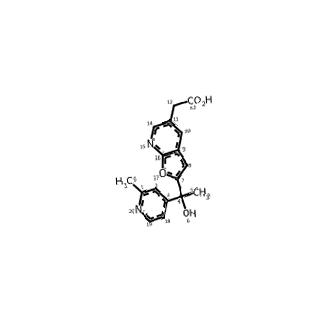 Cc1cc(C(C)(O)c2cc3cc(CC(=O)O)cnc3o2)ccn1